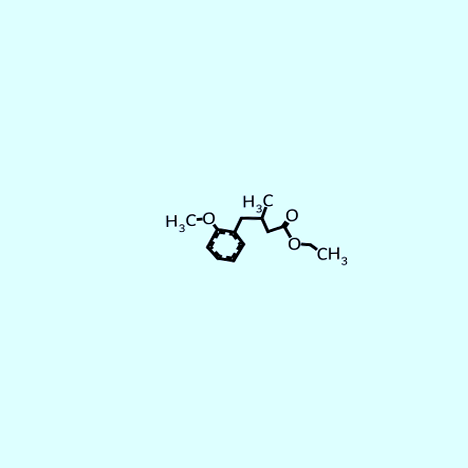 CCOC(=O)CC(C)Cc1ccccc1OC